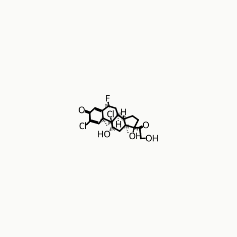 C[C@]12C=C(Cl)C(=O)C=C1[C@@H](F)C[C@H]1[C@@H]3CC[C@](O)(C(=O)CO)[C@@]3(C)C[C@H](O)[C@@]12Cl